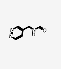 O=[C]NCc1ccnnc1